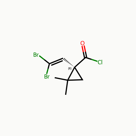 CC1(C)C[C@]1(C=C(Br)Br)C(=O)Cl